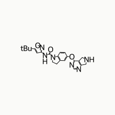 CC(C)(C)c1cc(NC(=O)N2CCc3cc(Oc4ncnc5c4CNC5)ccc32)no1